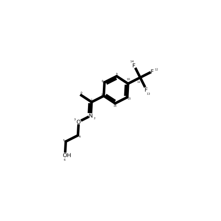 CC(=NOCCO)c1ccc(C(F)(F)F)cc1